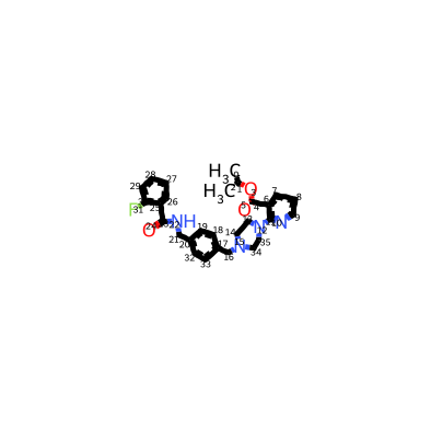 CC(C)OC(=O)c1cccnc1N1CCN(Cc2ccc(CNC(=O)c3ccccc3F)cc2)CC1